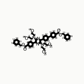 COCCN(CCOC)c1nc(-c2ccc(-c3ccc(C(=O)OCc4ccccc4)cc3)cc2)c(N(CCOC)CCOC)nc1-c1ccc(C(=O)OCc2ccccc2)cc1